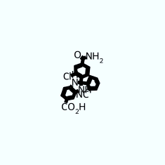 N#Cc1ccccc1C1(c2ccc(C(N)=O)cc2Cl)Nc2ccc(C(=O)O)cc2N1